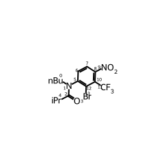 CCCCN(C(=O)C(C)C)c1ccc([N+](=O)[O-])c(C(F)(F)F)c1Br